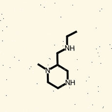 CCNCC1CNCCN1C